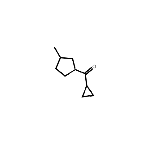 CC1CCC(C(=O)C2CC2)C1